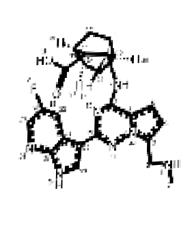 CNCc1ccc2c(N[C@H]3[C@H]4CC[C@H](CC4)[C@@H]3C(=O)O)nc(-c3c[nH]c4ncc(F)cc34)nn12